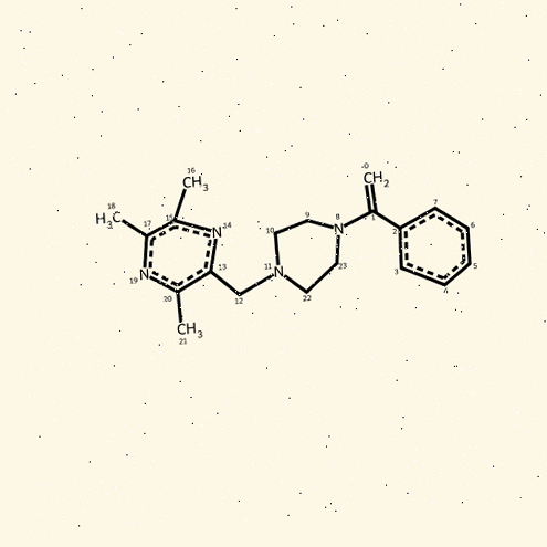 C=C(c1ccccc1)N1CCN(Cc2nc(C)c(C)nc2C)CC1